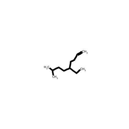 [CH2]C(C)CCC(CC)CCC=C